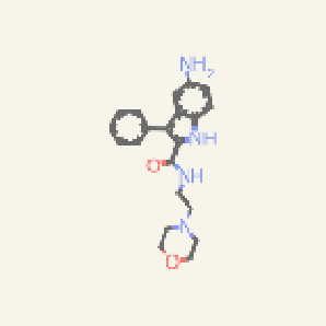 Nc1ccc2[nH]c(C(=O)NCCN3CCOCC3)c(-c3ccccc3)c2c1